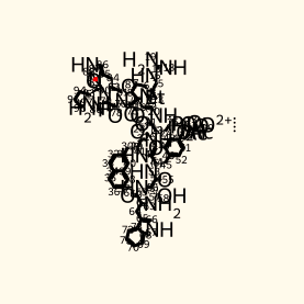 CC(=O)[O-].CC(=O)[O-].CCN1CCC[C@@]1(C(=O)[C@H](CCCNC(=N)N)NC(=O)[C@H](CC(C)C)NC(=O)[C@@H](Cc1ccc2ccccc2c1)NC(=O)[C@H](Cc1ccc(O)cc1)NC(=O)[C@H](CO)NC(=O)[C@@H](N)Cc1c[nH]c2ccccc12)C(=O)N(C(=O)CN)C(=O)[C@H](Cc1c[nH]cn1)NC(=O)[C@@H]1CCCN1.O.[O+2]